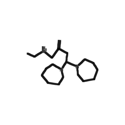 C=C(C[SiH2]CC)CC(N1CCCCCC1)N1CCCCCC1